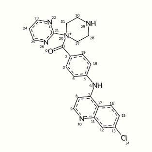 O=C(c1ccc(Nc2ccnc3cc(Cl)ccc23)cc1)[N+]1(c2ncccn2)CCNCC1